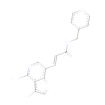 Nc1ncc(/C=C/C(=O)NCc2ccncc2)c2scc(Br)c12